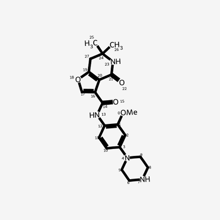 COc1cc(N2CCNCC2)ccc1NC(=O)c1coc2c1C(=O)NC(C)(C)C2